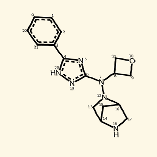 c1ccc(-c2nc(N(C3COC3)N3CC4CC3CN4)n[nH]2)cc1